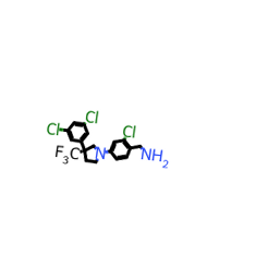 NCc1ccc(N2CCC(c3cc(Cl)cc(Cl)c3)(C(F)(F)F)C2)cc1Cl